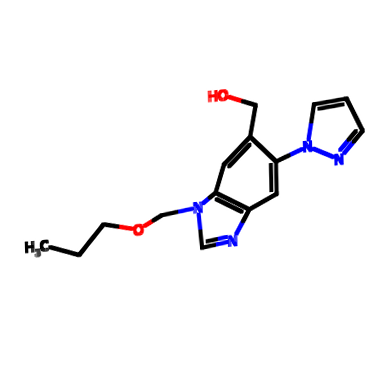 CCCOCn1cnc2cc(-n3cccn3)c(CO)cc21